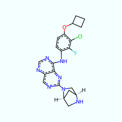 Fc1c(Nc2ncnc3cnc(N4C[C@@H]5C[C@H]4CN5)nc23)ccc(OC2CCC2)c1Cl